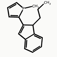 CCC[C]1C(c2cccp2C)=Cc2ccccc21